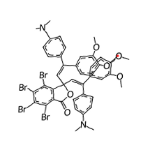 COc1ccc(C(=CC2(C=C(c3ccc(N(C)C)cc3)c3ccc(OC)c(OC)c3)OC(=O)c3c(Br)c(Br)c(Br)c(Br)c32)c2ccc(N(C)C)cc2)cc1OC